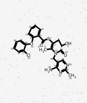 CC(=C(CCO)SC(=O)c1ccccc1Oc1ccccc1Cl)N(C=O)Cc1cnc(C)nc1N